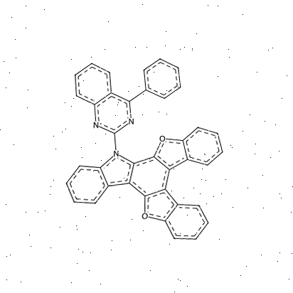 c1ccc(-c2nc(-n3c4ccccc4c4c5oc6ccccc6c5c5c6ccccc6oc5c43)nc3ccccc23)cc1